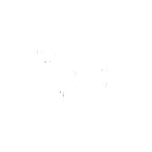 CS(=O)(=O)OCc1c[nH]c(Sc2cc(Cl)c(Cl)cc2Cl)c1